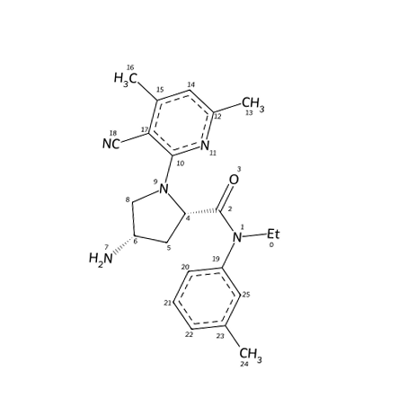 CCN(C(=O)[C@@H]1C[C@H](N)CN1c1nc(C)cc(C)c1C#N)c1cccc(C)c1